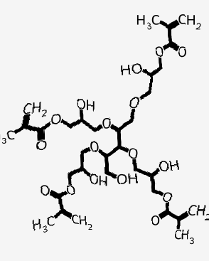 C=C(C)C(=O)OCC(O)COCC(OCC(O)COC(=O)C(=C)C)C(OCC(O)COC(=O)C(=C)C)C(CO)OCC(O)COC(=O)C(=C)C